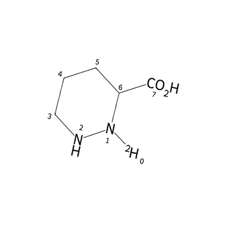 [2H]N1NCCCC1C(=O)O